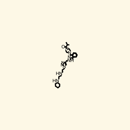 CC(C)C(=O)N1CCN(c2nc(NCc3cn(CCCNCCCNC4CCCCC4)nn3)nc3ccccc23)CC1